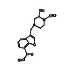 COC(=O)c1cccc2c(CN3CCN([C]=O)C(C(C)(C)C)C3)coc12